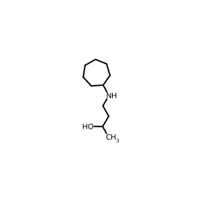 CC(O)CCNC1CCCCCC1